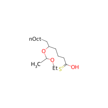 CCCCCCCCCC(CCCC(O)=S)OC(C)OCC